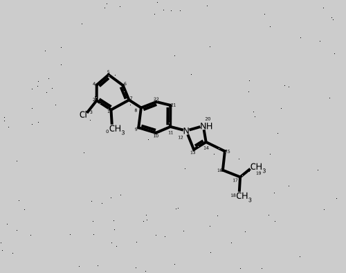 Cc1c(Cl)cccc1-c1ccc(-n2cc(CCC(C)C)[nH]2)cc1